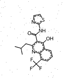 CC(C)Cc1nc2c(C(F)(F)F)cccc2c(O)c1C(=O)Nc1nccs1